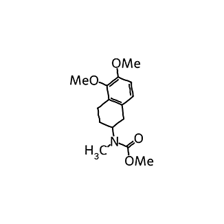 COC(=O)N(C)C1CCc2c(ccc(OC)c2OC)C1